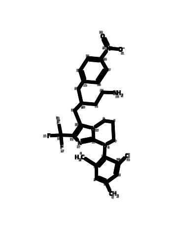 Cc1cc(C)c(N2CCCn3c2nc(C(F)(F)F)c3CC(CCN)Cc2ccc([N+](=O)[O-])cc2)c(Cl)c1